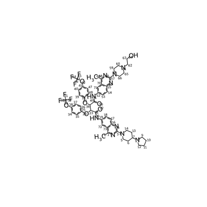 Cc1nc(N2CCC(N3CCCC3)CC2)nc2ccc(NC(=O)C(Oc3ccc(OC(F)(F)F)cc3)C(Oc3ccc(OC(F)(F)F)cc3)C(=O)Nc3ccc4nc(N5CCN(CCO)CC5)nc(C)c4c3)cc12